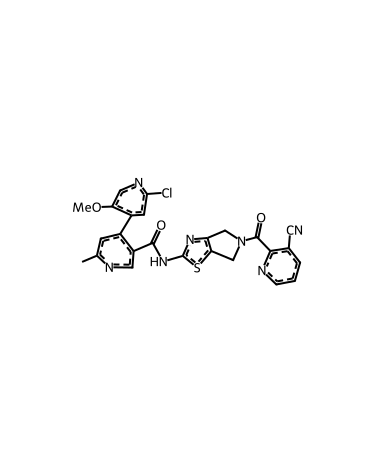 COc1cnc(Cl)cc1-c1cc(C)ncc1C(=O)Nc1nc2c(s1)CN(C(=O)c1ncccc1C#N)C2